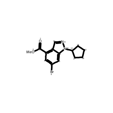 COC(=O)c1cc(Br)cc2c1cnn2C1CCCC1